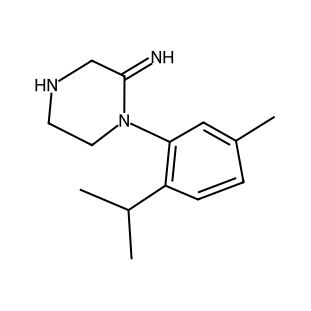 Cc1ccc(C(C)C)c(N2CCNCC2=N)c1